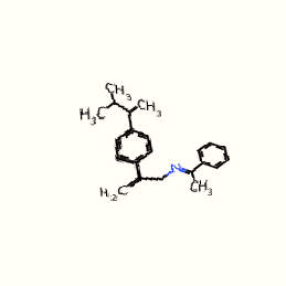 C=C(C/N=C(\C)c1ccccc1)c1ccc(C(C)C(C)C)cc1